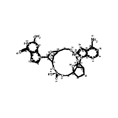 Nc1nc2c(ncn2C2OC3CO[PH](=O)OC4C5CCC4(CO[P@@](=O)(S)OC2C3O)OC5n2cnc3c(N)ncnc32)c(=O)[nH]1